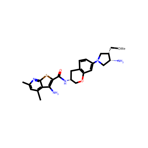 COC[C@H]1CN(c2ccc3c(c2)OC[C@H](NC(=O)c2sc4nc(C)cc(C)c4c2N)C3)C[C@H]1N